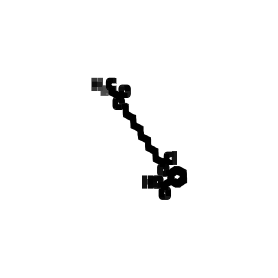 C=CC(=O)OCCCCCCCCCCC(Cl)Oc1ccccc1C(=O)O